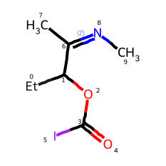 CCC(OC(=O)I)/C(C)=N\C